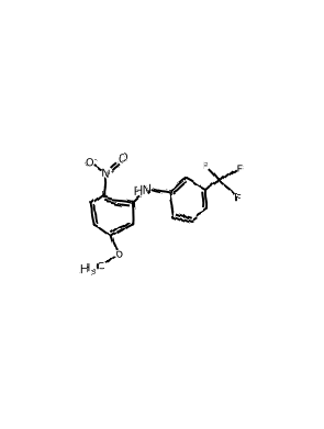 COc1ccc([N+](=O)[O-])c(Nc2cccc(C(F)(F)F)c2)c1